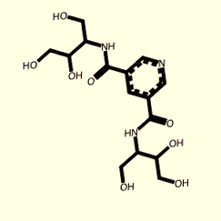 O=C(NC(CO)C(O)CO)c1cncc(C(=O)NC(CO)C(O)CO)c1